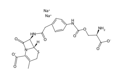 CC1=C(C(=O)[O-])N2C(=O)[C@@H](NC(=O)Cc3ccc(NC(=O)OC[C@@H](N)C(=O)[O-])cc3)[C@@H]2SC1.[Na+].[Na+]